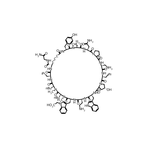 CCCC[C@H]1C(=O)N(C)[C@@H](CCCC)C(=O)N[C@@H](CC(C)C)C(=O)N[C@H](C(=O)NCC(N)=O)CCCC(=O)N[C@@H](Cc2ccc(O)cc2)C(=O)N(C)[C@@H](C)C(=O)N[C@@H](CC(N)=O)C(=O)N2CCC[C@H]2C(=O)N[C@@H](CN)C(=O)N[C@@H](CC(C)C)C(=O)N2C[C@H](O)C[C@H]2C(=O)N[C@@H](Cc2c[nH]c3ccccc23)C(=O)N[C@@H](CCN)C(=O)N[C@@H](Cc2cn(CC(=O)O)c3ccccc23)C(=O)N1C